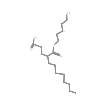 CCCCCCCCC(CCC(=O)O)C(=O)OCCCCCO